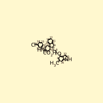 Cc1cc(OCCC[C@@H]2Cc3ccccc3C23CCC(Nc2cccc(Cl)c2)(C(=O)O)CC3)c2cc[nH]c2c1